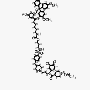 COOSN1CCC(C(=O)N(CCCN2CCC(Cc3ccc(S(=O)(=O)NCCCOC(=O)NCCCCCC(=O)C4C[C@H](O)C[C@H]4COC(c4ccccc4)(c4ccc(OC)cc4)c4ccc(OC)cc4)cc3)CC2)c2ccc(Cl)c(Cl)c2)CC1